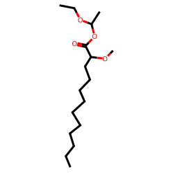 CCCCCCCCCCC(OC)C(=O)OC(C)OCC